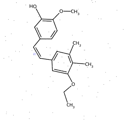 CCOc1cc(/C=C\c2ccc(OC)c(O)c2)cc(C)c1C